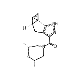 C[C@@H]1CN(C(=O)c2n[nH]c3c2C[C@H]2C4=C[C@@]432)C[C@H](C)O1